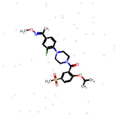 CON=C(C)c1ccc(N2CCN(C(=O)c3cc(S(C)(=O)=O)ccc3OC(C)C)CC2)c(F)c1